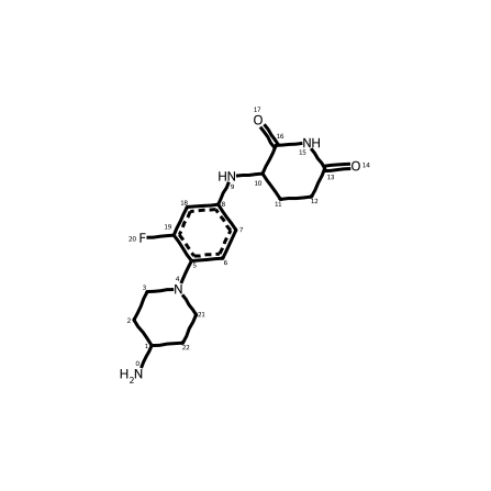 NC1CCN(c2ccc(NC3CCC(=O)NC3=O)cc2F)CC1